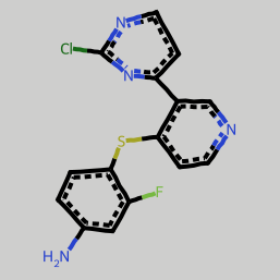 Nc1ccc(Sc2ccncc2-c2ccnc(Cl)n2)c(F)c1